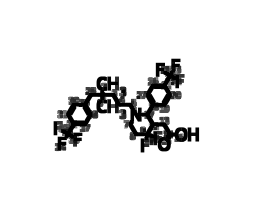 CC(C)(CCCN1CCC(F)(F)C(CC(=O)O)C1c1ccc(C(F)(F)F)cc1)Cc1ccc(C(F)(F)F)cc1